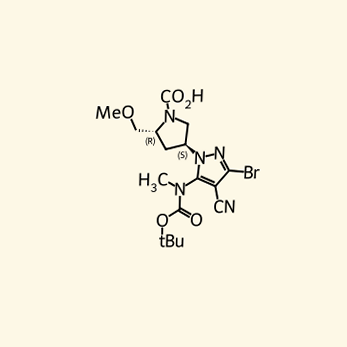 COC[C@H]1C[C@H](n2nc(Br)c(C#N)c2N(C)C(=O)OC(C)(C)C)CN1C(=O)O